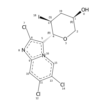 O[C@H]1CO[C@H](c2c(Cl)nc3cc(Cl)c(Cl)cn23)[C@@H](I)C1